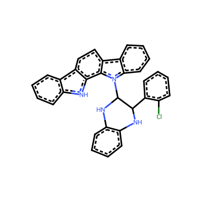 Clc1ccccc1C1Nc2ccccc2NC1n1c2ccccc2c2ccc3c4ccccc4[nH]c3c21